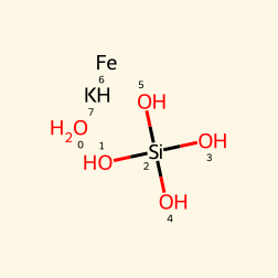 O.O[Si](O)(O)O.[Fe].[KH]